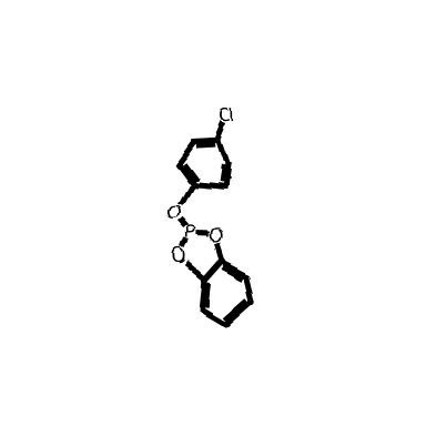 Clc1ccc(OP2Oc3ccccc3O2)cc1